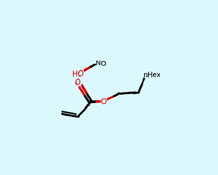 C=CC(=O)OCCCCCCCC.O=NO